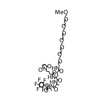 COCCOCCOCCOCCOCCOCCOCCOCCNC(=O)CCC(NC(=O)CCCN1C(=O)C=CC1=O)C(=O)NC(C)C(=O)NC(C)C(=O)Oc1c(F)c(F)c(F)c(F)c1F